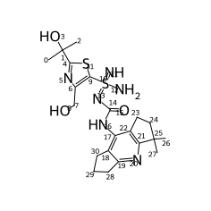 CC(C)(O)c1nc(CO)c(S(=N)(N)=NC(=O)Nc2c3c(nc4c2CCC4(C)C)CCC3)s1